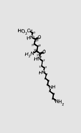 NCCCNCCCCNCCCNC(=O)C(N)CCC(=O)NCC(=O)O